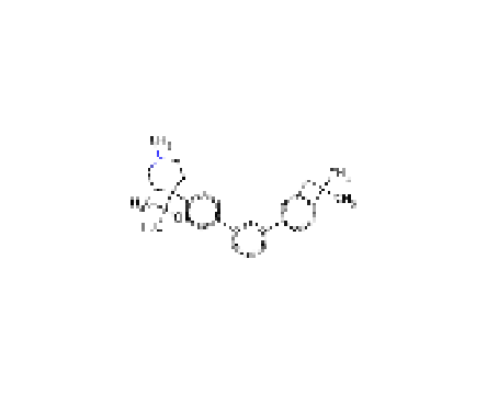 CN1CCC(c2ccc(-c3cccc(-c4ccc5c(c4)CC5(C)C)c3)cc2)(C(C)(C)C)CC1